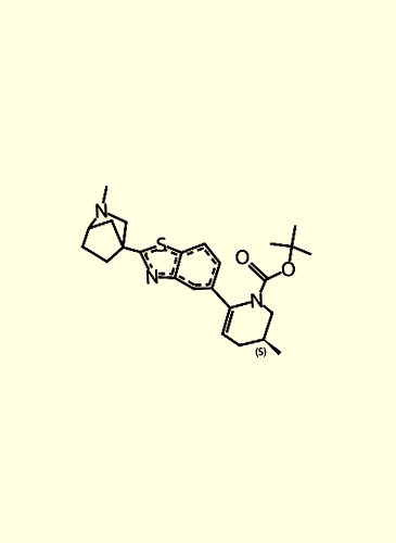 C[C@H]1CC=C(c2ccc3sc(C45CCC(C4)N(C)C5)nc3c2)N(C(=O)OC(C)(C)C)C1